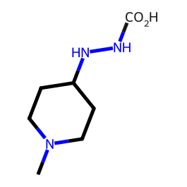 CN1CCC(NNC(=O)O)CC1